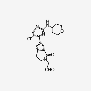 O=CCN1CCc2sc(-c3nc(NC4CCOCC4)ncc3Cl)cc2C1=O